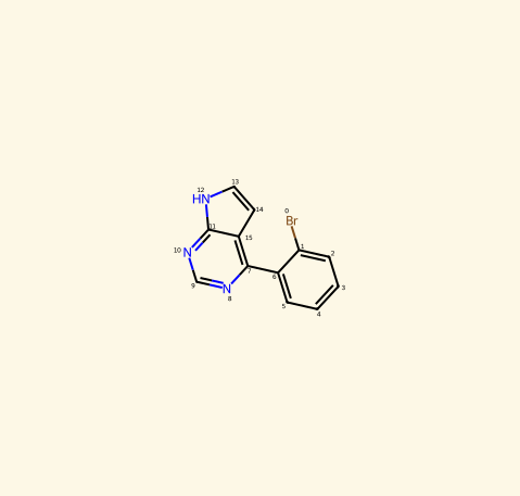 Brc1ccccc1-c1ncnc2[nH]ccc12